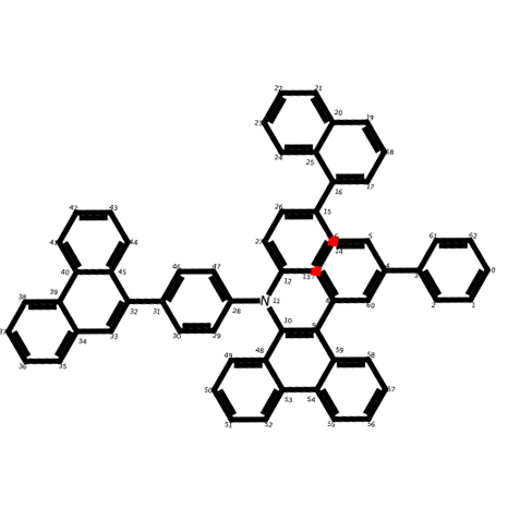 c1ccc(-c2cccc(-c3c(N(c4ccc(-c5cccc6ccccc56)cc4)c4ccc(-c5cc6ccccc6c6ccccc56)cc4)c4ccccc4c4ccccc34)c2)cc1